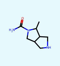 CC1C2CNCC2CN1C(N)=O